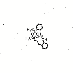 C[Si](C)(CCCc1ccccc1O)O[Si](C)(C)c1ccccc1